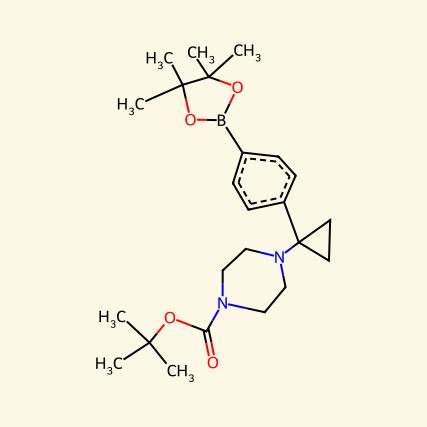 CC(C)(C)OC(=O)N1CCN(C2(c3ccc(B4OC(C)(C)C(C)(C)O4)cc3)CC2)CC1